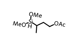 CO[SiH](OC)C(C)CCOC(C)=O